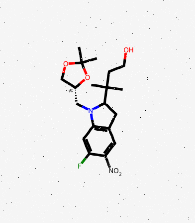 CC1(C)OC[C@@H](CN2c3cc(F)c([N+](=O)[O-])cc3CC2C(C)(C)CCO)O1